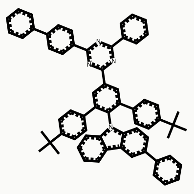 CC(C)(C)c1ccc(-c2cc(-c3nc(-c4ccccc4)nc(-c4ccc(-c5ccccc5)cc4)n3)cc(-c3ccc(C(C)(C)C)cc3)c2-n2c3ccccc3c3cc(-c4ccccc4)ccc32)cc1